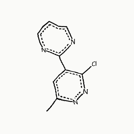 Cc1cc(-c2ncccn2)c(Cl)nn1